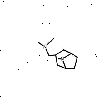 CN(C)CC1CC2CCC(C1)N2C